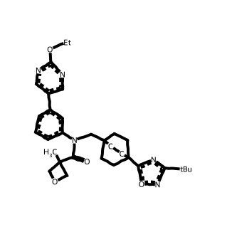 CCOc1ncc(-c2cccc(N(CC34CCC(c5nc(C(C)(C)C)no5)(CC3)CC4)C(=O)C3(C)COC3)c2)cn1